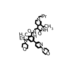 CCN(c1cc(-c2ccc(N3CCOCC3)nc2)cc(C(=O)NCC2C(=O)NC(C)C3=CN(CC(C)C)CCC32)c1C)C1CCOCC1